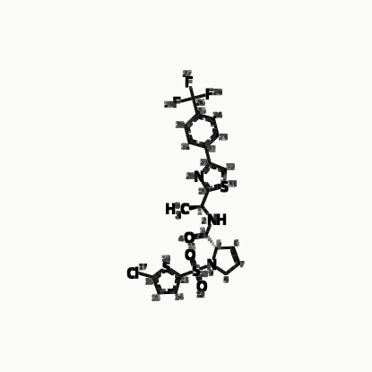 C[C@H](NC(=O)[C@@H]1C=CCN1S(=O)(=O)c1ccc(Cl)s1)c1nc(-c2ccc(C(F)(F)F)cc2)cs1